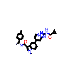 Cc1ccc([C@H](C)NC(=O)c2cn(C)c3ccc(-c4ccn5nc(NC(=O)C6CC6)nc5c4)cc23)cc1